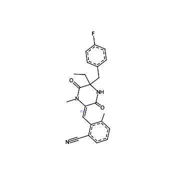 CCC1(Cc2ccc(F)cc2)NC(=O)/C(=C\c2c(C)cccc2C#N)N(C)C1=O